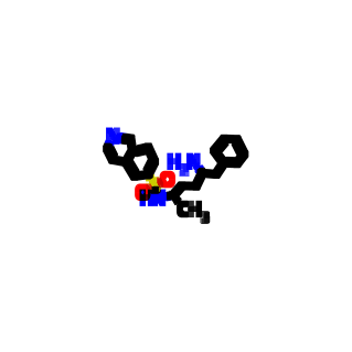 C[C@H](CCC(N)Cc1ccccc1)NS(=O)(=O)c1ccc2cnccc2c1